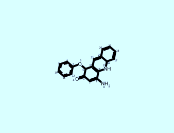 NC1=CC(=O)C(Oc2ccccc2)C2=C1NC1C=CC=CC1=C2